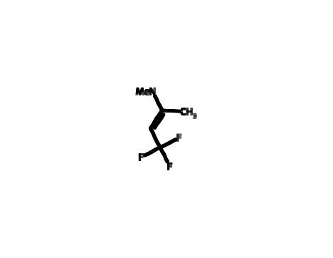 CN/C(C)=C/C(F)(F)F